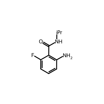 CC(C)NC(=O)c1c(N)cccc1F